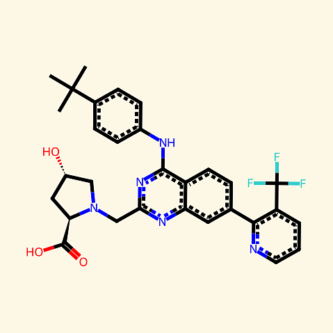 CC(C)(C)c1ccc(Nc2nc(CN3C[C@@H](O)C[C@@H]3C(=O)O)nc3cc(-c4ncccc4C(F)(F)F)ccc23)cc1